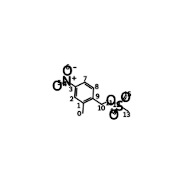 Cc1cc([N+](=O)[O-])ccc1COS(C)(=O)=O